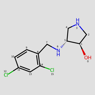 O[C@@H]1CNC[C@H]1NCc1ccc(Cl)cc1Cl